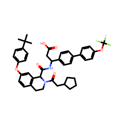 CC(C)(C)c1ccc(Oc2ccc3c(c2)C(C(=O)NC(CC(=O)O)c2ccc(-c4ccc(OC(F)(F)F)cc4)cc2)N(C(=O)CC2CCCC2)CC3)cc1